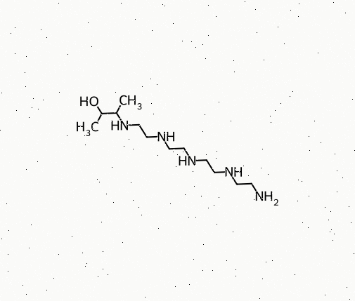 CC(O)C(C)NCCNCCNCCNCCN